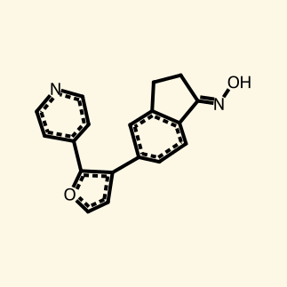 ON=C1CCc2cc(-c3ccoc3-c3ccncc3)ccc21